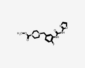 COC(=O)N1CCN(Cc2ccc(F)c(NC(=O)Nc3ncco3)c2)CC1